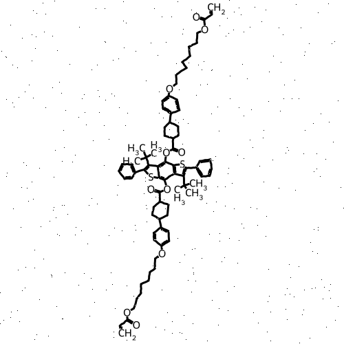 C=CC(=O)OCCCCCCCCOc1ccc(C2CCC(C(=O)Oc3c4sc(-c5ccccc5)c(C(C)(C)C)c4c(OC(=O)C4CCC(c5ccc(OCCCCCCCCOC(=O)C=C)cc5)CC4)c4sc(-c5ccccc5)c(C(C)(C)C)c34)CC2)cc1